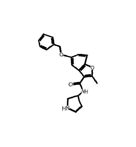 Cc1oc2ccc(OCc3ccccc3)cc2c1C(=O)NC1CCNC1